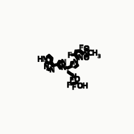 CS(=O)(=O)c1nc(N2CC[C@H]([C@H](CC#N)n3cc(-c4ncnc5[nH]ccc45)cn3)C2)c(F)cc1F.O=C(O)C(F)(F)F